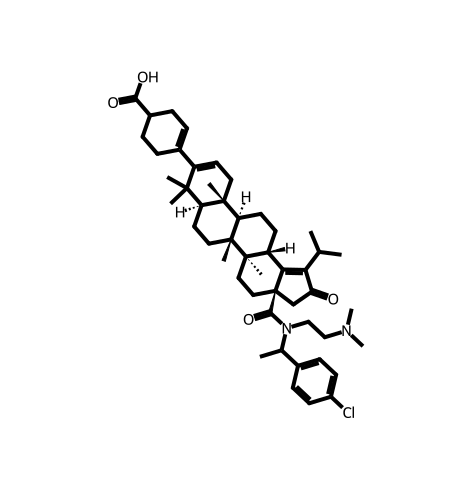 CC(C)C1=C2[C@H]3CC[C@@H]4[C@@]5(C)CC=C(C6=CCC(C(=O)O)CC6)C(C)(C)[C@@H]5CC[C@@]4(C)[C@]3(C)CC[C@@]2(C(=O)N(CCN(C)C)C(C)c2ccc(Cl)cc2)CC1=O